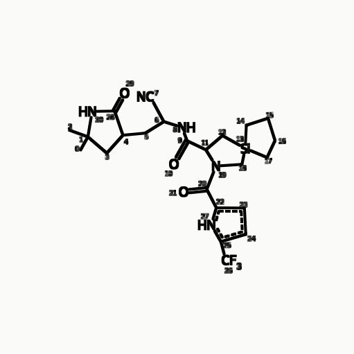 CC1(C)CC(CC(C#N)NC(=O)C2C[Si]3(CCCC3)CN2C(=O)c2ccc(C(F)(F)F)[nH]2)C(=O)N1